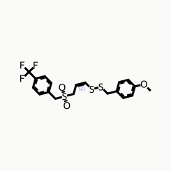 COc1ccc(CSS/C=C\CS(=O)(=O)Cc2ccc(C(F)(F)F)cc2)cc1